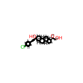 C[C@]12CC[C@](O)(C#Cc3ccc(Cl)cc3)C[C@H]1CC[C@@H]1[C@@H]2CC[C@]2(C)[C@@H](C(=O)CO)CC[C@@H]12